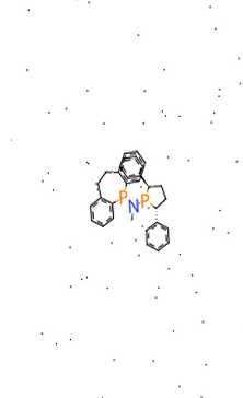 CN(P1c2ccccc2CCc2ccccc21)P1[C@@H](c2ccccc2)CC[C@@H]1c1ccccc1